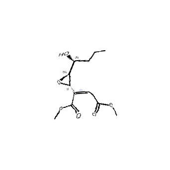 CCC[C@H](O)[C@@H]1O[C@H]1/C(=C/C(=O)OC)C(=O)OC